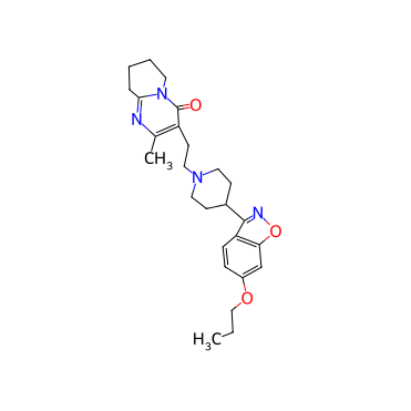 CCCOc1ccc2c(C3CCN(CCc4c(C)nc5n(c4=O)CCCC5)CC3)noc2c1